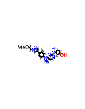 COCCn1cc(-c2ccc(-n3nnc4cnc(N[C@@H]5CC[C@@H](O)C5)nc43)cc2F)cn1